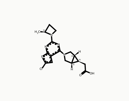 C[C@H]1CCN1c1nc(N2C[C@@H]3[C@@H](CC(=O)O)[C@@H]3C2)c2cc(Cl)sc2n1